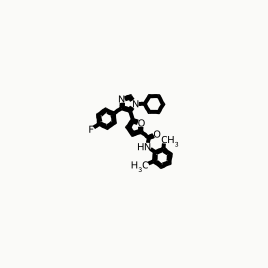 Cc1cccc(C)c1NC(=O)c1ccc(-c2c(-c3ccc(F)cc3)ncn2C2CCCCC2)o1